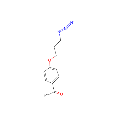 CC(C)C(=O)c1ccc(OCCCN=[N+]=[N-])cc1